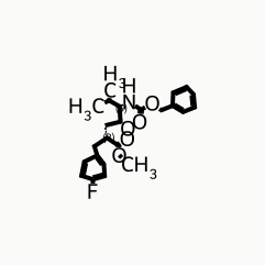 COC(=O)[C@@H](CC(=O)[C@@H](NC(=O)OCc1ccccc1)C(C)C)Cc1ccc(F)cc1